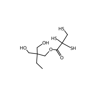 CCC(CO)(CO)COC(=O)C(S)(S)CS